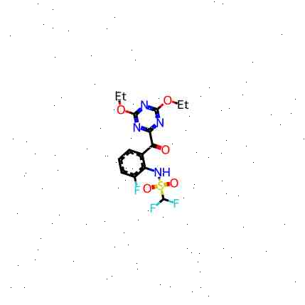 CCOc1nc(OCC)nc(C(=O)c2cccc(F)c2NS(=O)(=O)C(F)F)n1